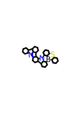 c1ccc2c(c1)Sc1cccc3c1B2c1cccc2c4ccc5c(c6cccc7c8ccccc8n5c76)c4n-3c12